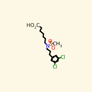 CS(=O)(=O)N(CCCCCCC(=O)O)CCCc1cc(Cl)cc(Cl)c1